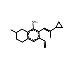 C=Cc1cc2c(c(SC)c1/C=C(\C)C1CC1)CC(C)CC2